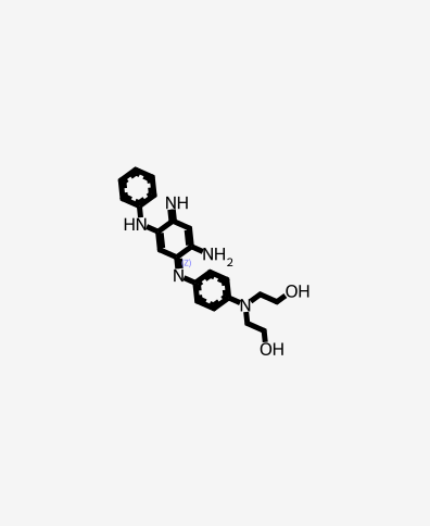 N=C1C=C(N)/C(=N\c2ccc(N(CCO)CCO)cc2)C=C1Nc1ccccc1